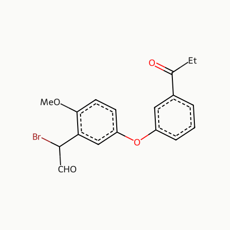 CCC(=O)c1cccc(Oc2ccc(OC)c(C(Br)C=O)c2)c1